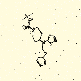 CC(C)(C)OC(=O)N1CCC(N(CCc2ccccc2)c2nccs2)CC1